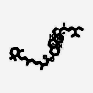 CC[C@H](C=C[C@@H](C)[C@H]1CC[C@H]2[C@@H]3CC=C4C[C@H](OC(=O)C=C(C)C=C/C=C(C)/C=C/C5=C(C)CCCC5(C)C)CC[C@]4(C)[C@H]3CC[C@]12C)C(C)C